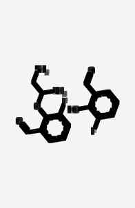 NCC(N)Oc1c(F)cccc1C=O.O=Cc1cccc(F)c1O